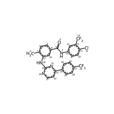 Cc1ccc(C(=O)Nc2ccc(Cl)c(C(F)(F)F)c2)cc1Nc1nccc(-c2ccc(C(F)(F)F)cc2)n1